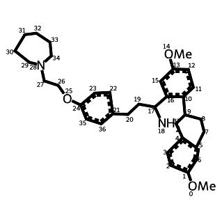 COc1ccc2c(c1)CCC(c1ccc(OC)cc1C(N)CCc1ccc(OCCN3CCCCCC3)cc1)C2